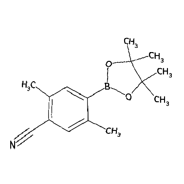 Cc1cc(B2OC(C)(C)C(C)(C)O2)c(C)cc1C#N